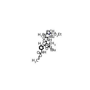 C=CCOC(=O)Nc1cccc(C(C)(C)[C@@H](C(=O)N[C@H](C(=O)N(C)[C@H](/C=C(\C)C(=O)OCC)C(C)C)C(C)(C)C)N(C)C(=O)OC(C)(C)C)c1